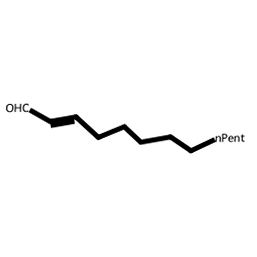 CCCCCCCCCCC=CC=O